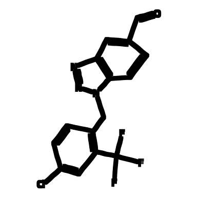 O=Cc1ccc2c(c1)nnn2Cc1ccc(Cl)cc1C(F)(F)F